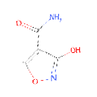 NC(=O)c1[c]onc1O